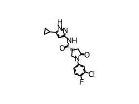 O=C(Nc1cc(C2CC2)[nH]n1)[C@@H]1CC(=O)N(c2ccc(F)c(Cl)c2)C1